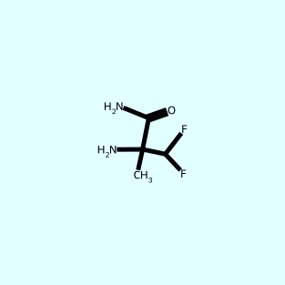 CC(N)(C(N)=O)C(F)F